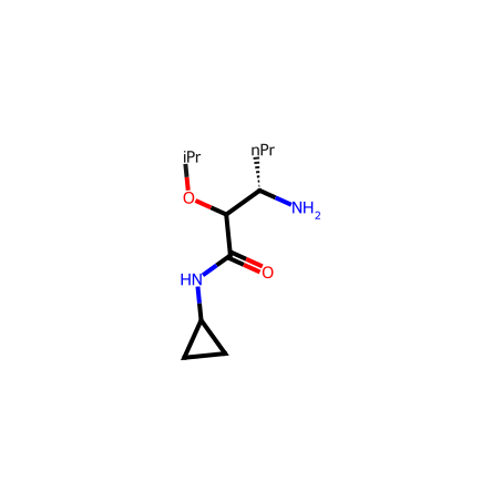 CCC[C@H](N)C(OC(C)C)C(=O)NC1CC1